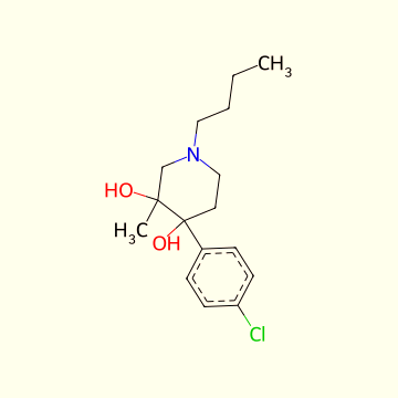 CCCCN1CCC(O)(c2ccc(Cl)cc2)C(C)(O)C1